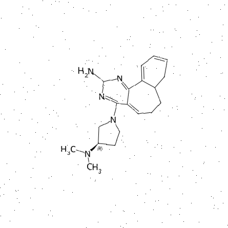 CN(C)[C@@H]1CCN(C2=NC(N)N=C3C2=CCCC2CC=CC=C32)C1